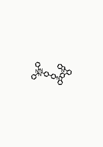 c1ccc(-c2nc(-c3ccccc3)nc(-c3ccc(-c4ccc(-n5c6ccccc6c6cc7c8ccccc8c8cc9ccccc9n8c7cc65)cc4)cc3)n2)cc1